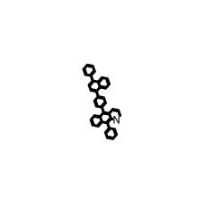 c1ccc(-c2ccc(-c3ccc(-c4c5ccccc5c(-c5ccccc5)c5ncccc45)cc3)c3ccccc23)cc1